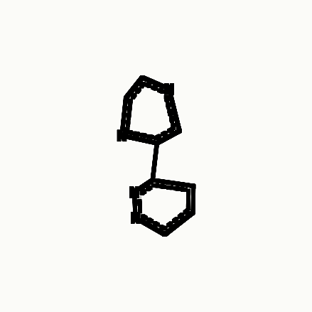 c1cnnc(-c2cnccn2)c1